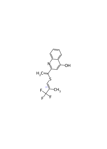 C=C(S/C=C(\C)C(F)(F)F)c1cc(O)c2ccccc2n1